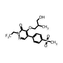 CC(CO)COc1c(-c2ccc(S(C)(=O)=O)cc2)cnn(CC(F)(F)F)c1=O